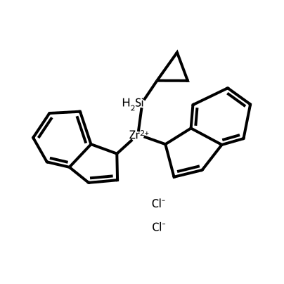 C1=C[CH]([Zr+2]([SiH2]C2CC2)[CH]2C=Cc3ccccc32)c2ccccc21.[Cl-].[Cl-]